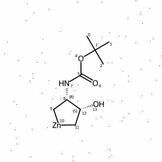 CC(C)(C)OC(=O)N[C@H]1[CH2][Zn][CH2][C@H]1O